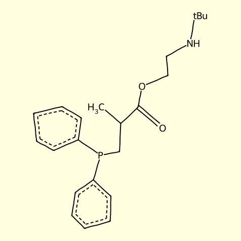 CC(CP(c1ccccc1)c1ccccc1)C(=O)OCCNC(C)(C)C